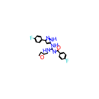 O=C(/N=C(/NCC1CCO1)Nc1cc(-c2ccc(F)cc2)n[nH]1)c1ccc(F)cc1